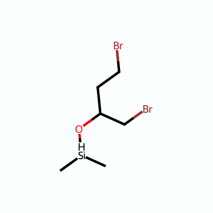 C[SiH](C)OC(CBr)CCBr